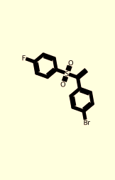 C=C(c1ccc(Br)cc1)S(=O)(=O)c1ccc(F)cc1